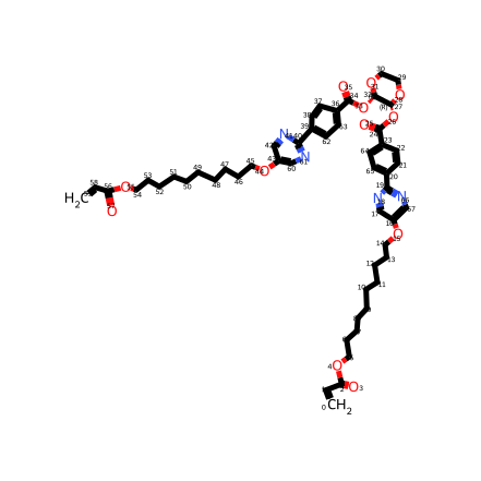 C=CC(=O)OCCCCCCCCCCOc1cnc(-c2ccc(C(=O)O[C@H]3OCCO[C@@H]3OC(=O)c3ccc(-c4ncc(OCCCCCCCCCCOC(=O)C=C)cn4)cc3)cc2)nc1